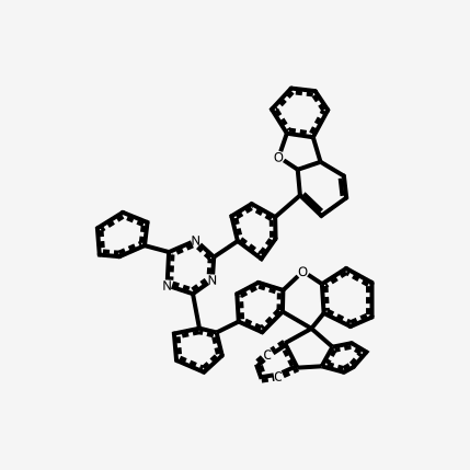 C1=CC2c3ccccc3OC2C(c2ccc(-c3nc(-c4ccccc4)nc(-c4ccccc4-c4ccc5c(c4)C4(c6ccccc6O5)c5ccccc5-c5ccccc54)n3)cc2)=C1